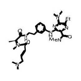 CCc1nc(C(=O)NC)c(Nc2cccc(CCNC(=O)[C@H](C)N(C)C(=O)/C=C/CN(C)C)c2)nc1N(C)C